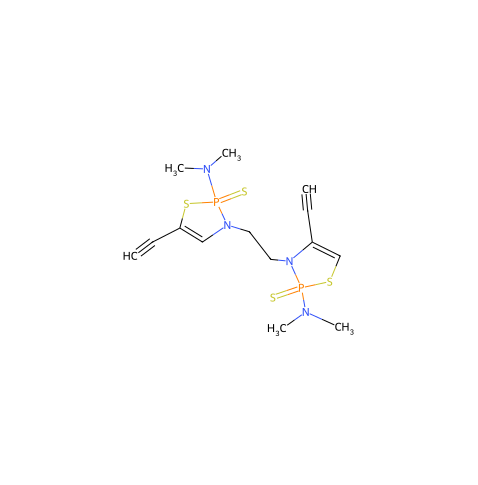 C#CC1=CN(CCN2C(C#C)=CSP2(=S)N(C)C)P(=S)(N(C)C)S1